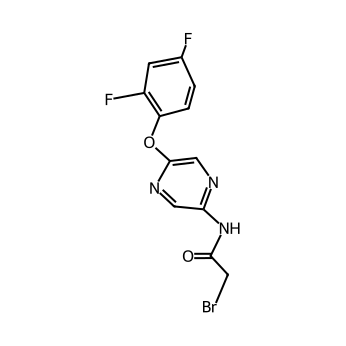 O=C(CBr)Nc1cnc(Oc2ccc(F)cc2F)cn1